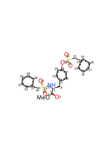 COC(=O)[C@H](Cc1ccc(OS(=O)(=O)Cc2ccccc2)cc1)NS(=O)(=O)Cc1ccccc1